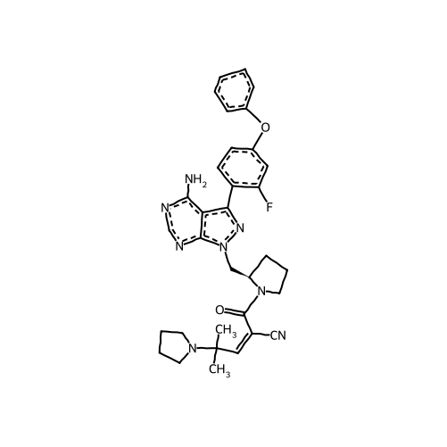 CC(C)(/C=C(/C#N)C(=O)N1CCC[C@@H]1Cn1nc(-c2ccc(Oc3ccccc3)cc2F)c2c(N)ncnc21)N1CCCC1